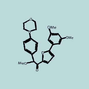 COc1cc(OC)cc(-c2ccc(C(=O)C(OC)c3ccc(N4CCOCC4)cc3)o2)c1